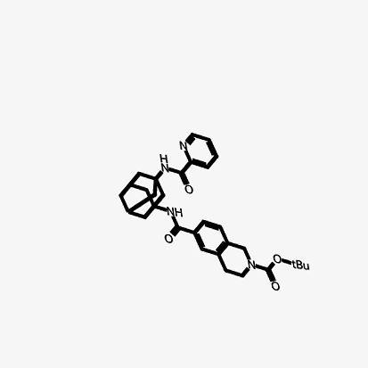 CC(C)(C)OC(=O)N1CCc2cc(C(=O)NC34CC5CC(C3)CC(NC(=O)c3ccccn3)(C5)C4)ccc2C1